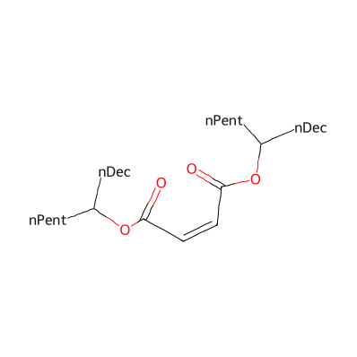 CCCCCCCCCCC(CCCCC)OC(=O)/C=C\C(=O)OC(CCCCC)CCCCCCCCCC